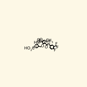 Cn1cc2c(c1C(=O)Nc1ccc(F)c(C(F)F)c1)OCC1CN(C(=O)O)CC1NS2(=O)=O